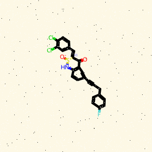 O=C1/C(=C/c2ccc(Cl)c(Cl)c2)[S+]([O-])Nc2ccc(C#CCc3ccc(F)cc3)cc21